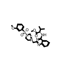 COC(=O)[C@@H](Nc1nc(CN2CCN(S(=O)(=O)c3cccc(OC)c3)CC2)nc2ccccc12)C(C)C